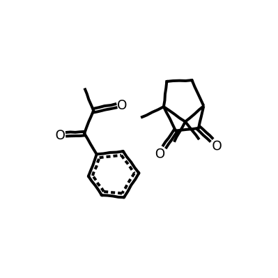 CC(=O)C(=O)c1ccccc1.CC12CCC(C(=O)C1=O)C2(C)C